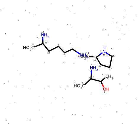 CC(O)C(N)C(=O)O.NCCCCC(N)C(=O)O.O=C(O)[C@@H]1CCCN1